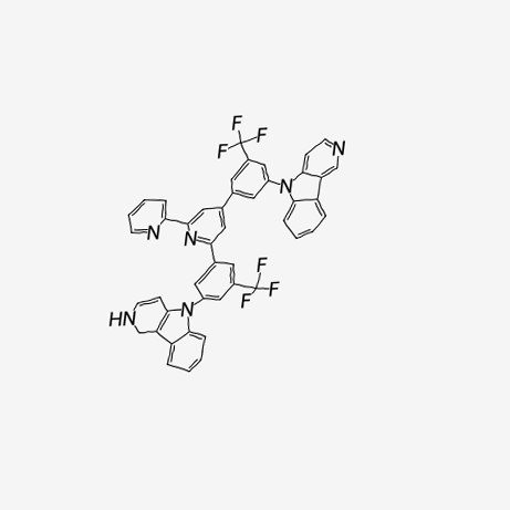 FC(F)(F)c1cc(-c2cc(-c3cc(-n4c5ccccc5c5cnccc54)cc(C(F)(F)F)c3)cc(-c3ccccn3)n2)cc(-n2c3c(c4ccccc42)CNC=C3)c1